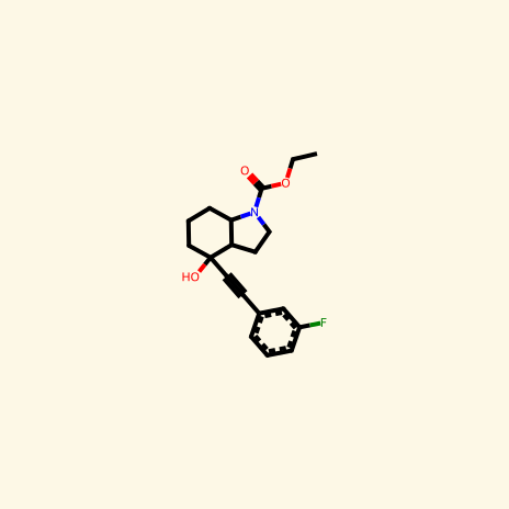 CCOC(=O)N1CCC2C1CCCC2(O)C#Cc1cccc(F)c1